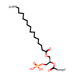 CCCCCCCC(=O)O[C@H](COC(=O)CCCCCCCCCCCCCCNC(C)=O)COP(=O)(O)O